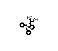 OCC(CO)Cc1cccnc1N(Cc1ccccc1)Cc1ccccc1